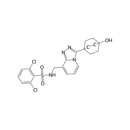 O=S(=O)(NCc1cccn2c(C34CCC(O)(CC3)CC4)nnc12)c1c(Cl)cccc1Cl